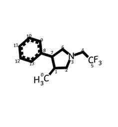 CC1CN(CC(F)(F)F)CC1c1ccccc1